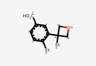 CCc1ccc(C(=O)O)cc1C1(CC)COC1